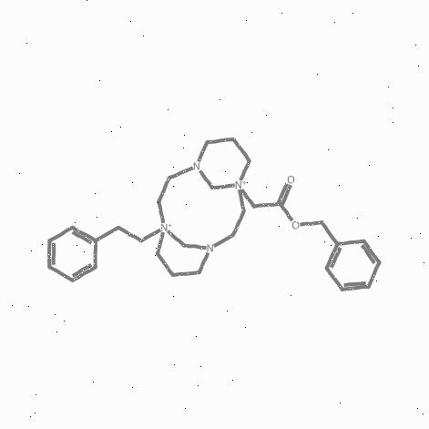 O=C(C[N+]12CCCN(CC[N+]3(CCc4ccccc4)CCCN(CC1)C3)C2)OCc1ccccc1